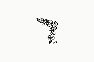 [Ba+2].[Ca+2].[O]=[Zr]([O-])[O-].[O]=[Zr]([O-])[O-].[O]=[Zr]([O-])[O-].[O]=[Zr]([O-])[O-].[O]=[Zr]([O-])[O-].[O]=[Zr]([O-])[O-].[Ti+4].[Ti+4]